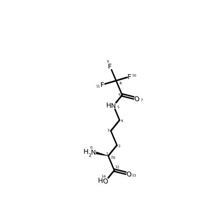 N[C@@H](CCCNC(=O)C(F)(F)F)C(=O)O